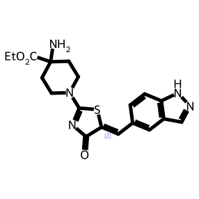 CCOC(=O)C1(N)CCN(C2=NC(=O)/C(=C/c3ccc4[nH]ncc4c3)S2)CC1